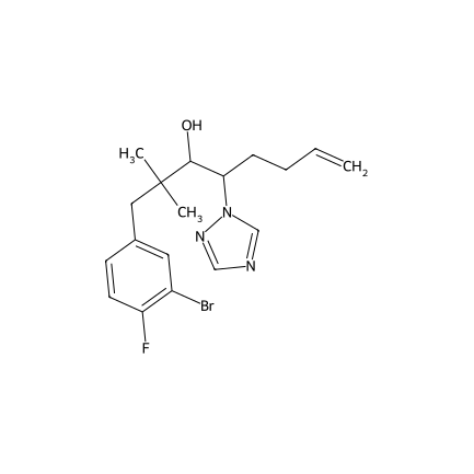 C=CCCC(C(O)C(C)(C)Cc1ccc(F)c(Br)c1)n1cncn1